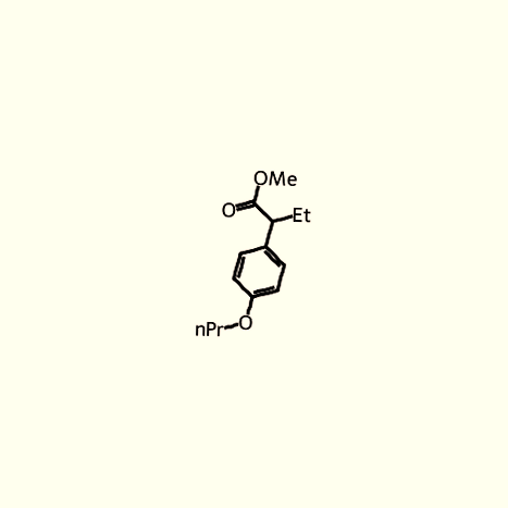 CCCOc1ccc(C(CC)C(=O)OC)cc1